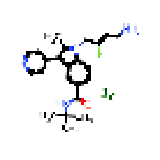 Cc1c(-c2ccncc2)c2cc(C(=O)NC(C)(C)C)ccc2n1CC(F)=CCN.Cl.Cl